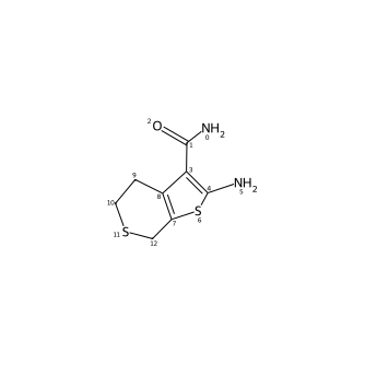 NC(=O)c1c(N)sc2c1CCSC2